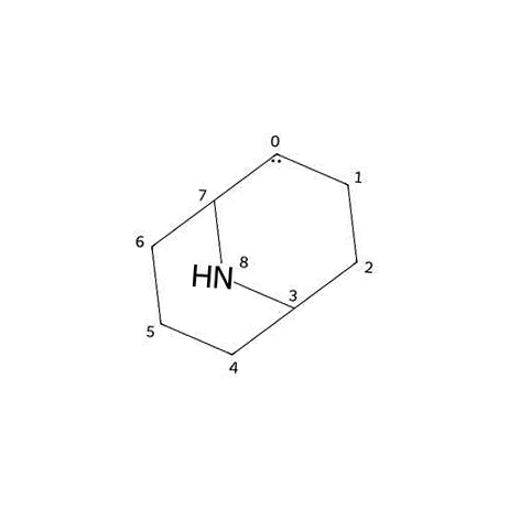 [C]1CCC2CCCC1N2